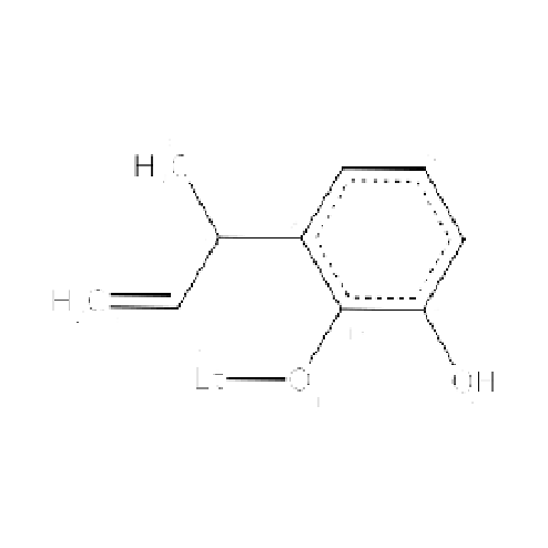 C=C[C](C)c1cccc(O)c1OCC